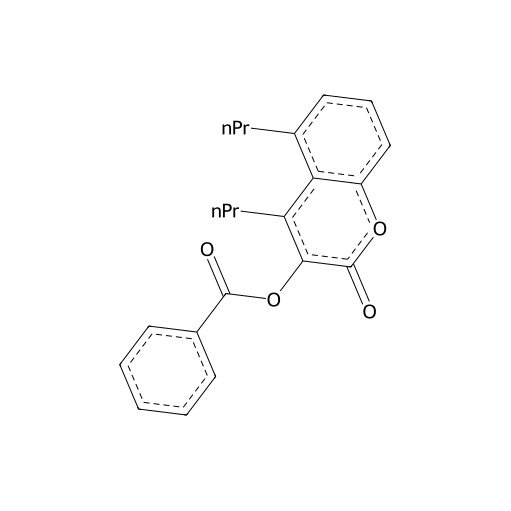 CCCc1cccc2oc(=O)c(OC(=O)c3ccccc3)c(CCC)c12